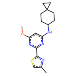 COc1cc(NC2CCC3(CC2)CC3)nc(-c2nc(C)cs2)n1